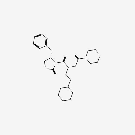 O=C(C[C@@H](CCC1CCCCC1)C(=O)N1C(=O)OC[C@@H]1Cc1ccccc1)N1CCOCC1